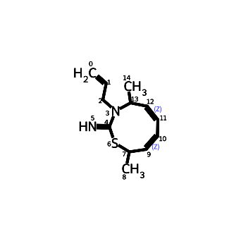 C=CCN1C(=N)SC(C)/C=C\C=C/C1C